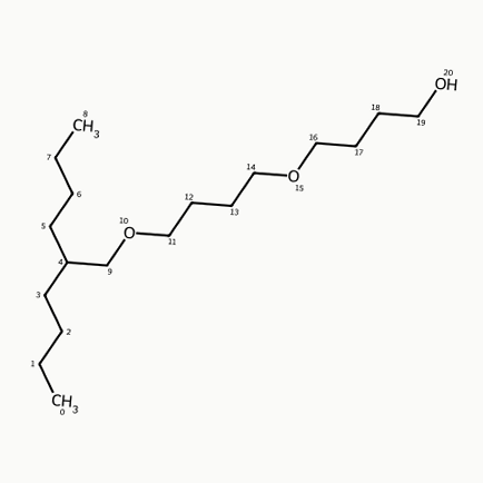 CCCCC(CCCC)COCCCCOCCCCO